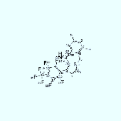 Cc1cc(C)c(Cn2ncc(-c3c(F)c(F)c(C(F)(F)F)c(F)c3F)c2C(N)=O)c(C)c1